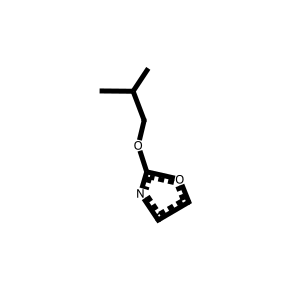 CC(C)COc1ncco1